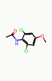 COc1cc(Cl)c(NC(C)=O)c(Cl)c1